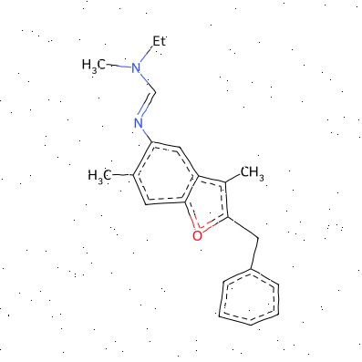 CCN(C)C=Nc1cc2c(C)c(Cc3ccccc3)oc2cc1C